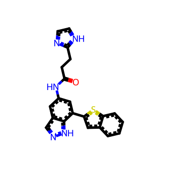 O=C(CCc1ncc[nH]1)Nc1cc(-c2cc3ccccc3s2)c2[nH]ncc2c1